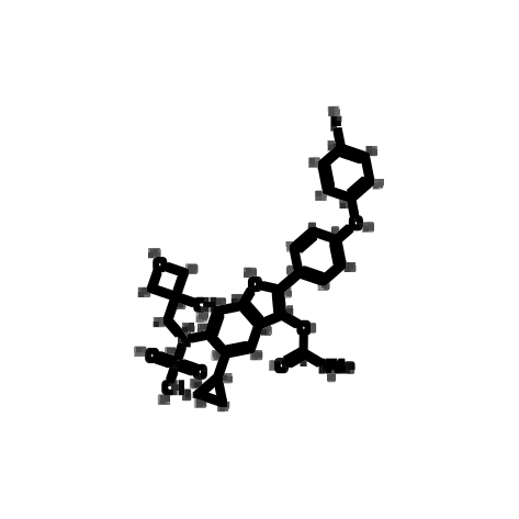 CNC(=O)Oc1c(-c2ccc(Oc3ccc(F)cc3)cc2)oc2cc(N(CC3(C)COC3)S(C)(=O)=O)c(C3CC3)cc12